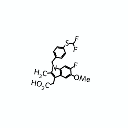 COc1cc2c(CC(=O)O)c(C)n(Cc3ccc(SC(F)F)cc3)c2cc1F